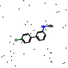 CCCCNc1cccc(-c2ccc(Cl)cc2)c1